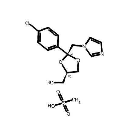 CS(=O)(=O)O.OC[C@@H]1CO[C@@](Cn2ccnc2)(c2ccc(Cl)cc2)O1